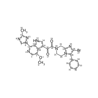 COc1cnc(-n2cnc(C)n2)c2[nH]cc(C(=O)C(=O)N3CCn4c(nc(Br)c4-c4ccccc4)C3)c12